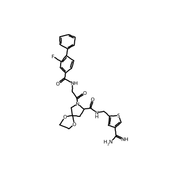 N=C(N)c1csc(CNC(=O)C2CC3(CN2C(=O)CNC(=O)c2ccc(-c4ccccc4)c(F)c2)OCCO3)c1